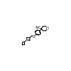 N#CC1(c2ccc(OCC3CN(C4CCC4)C3)cc2)CCOCC1